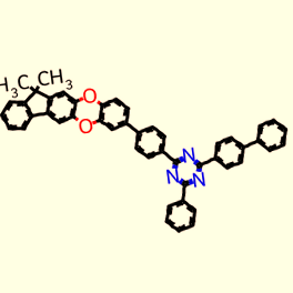 CC1(C)c2ccccc2-c2cc3c(cc21)Oc1ccc(-c2ccc(-c4nc(-c5ccccc5)nc(-c5ccc(-c6ccccc6)cc5)n4)cc2)cc1O3